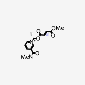 CNC(=O)c1ccc[n+](COC(=O)/C=C/C(=O)OC)c1.[I-]